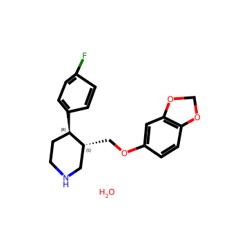 Fc1ccc([C@@H]2CCNC[C@H]2COc2ccc3c(c2)OCO3)cc1.O